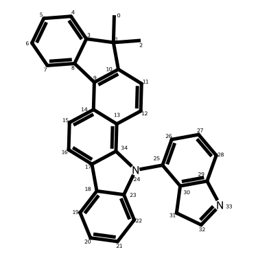 CC1(C)c2ccccc2-c2c1ccc1c2ccc2c3ccccc3n(-c3cccc4c3CC=N4)c12